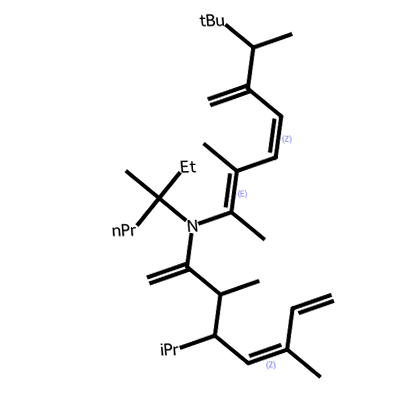 C=C/C(C)=C\C(C(C)C)C(C)C(=C)N(/C(C)=C(C)/C=C\C(=C)C(C)C(C)(C)C)C(C)(CC)CCC